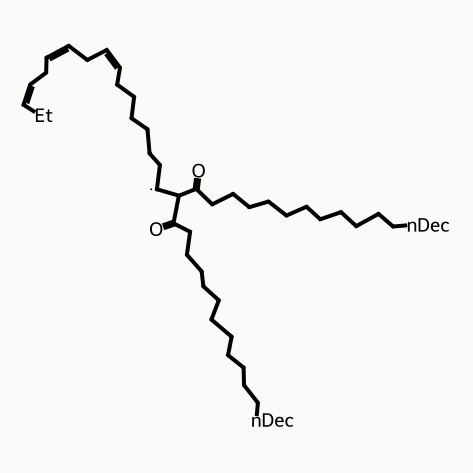 CC/C=C\C/C=C\C/C=C\CCCCCC[CH]C(C(=O)CCCCCCCCCCCCCCCCCCCCC)C(=O)CCCCCCCCCCCCCCCCCCCCC